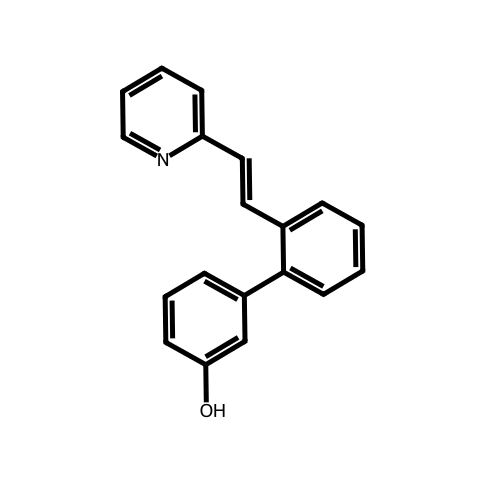 Oc1cccc(-c2ccccc2C=Cc2ccccn2)c1